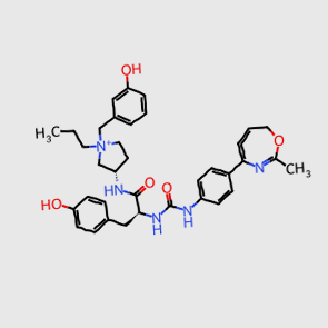 CCC[N+]1(Cc2cccc(O)c2)CC[C@H](NC(=O)[C@H](Cc2ccc(O)cc2)NC(=O)Nc2ccc(C3=C=CCOC(C)=N3)cc2)C1